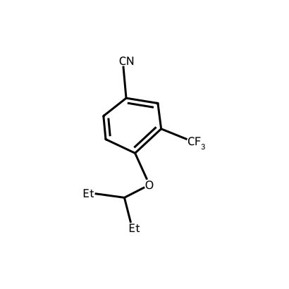 CCC(CC)Oc1ccc(C#N)cc1C(F)(F)F